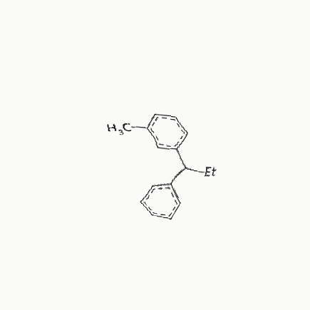 [CH2]CC(c1ccccc1)c1cccc(C)c1